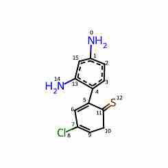 Nc1ccc(C2=CC(Cl)=CCC2=S)c(N)c1